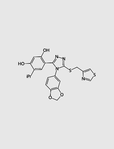 CC(C)c1cc(-c2nnc(SCc3cscn3)n2-c2ccc3c(c2)OCO3)c(O)cc1O